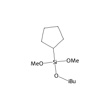 CCC(C)O[Si](OC)(OC)C1CCCC1